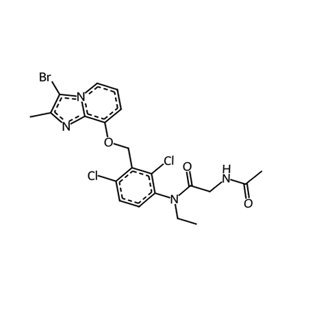 CCN(C(=O)CNC(C)=O)c1ccc(Cl)c(COc2cccn3c(Br)c(C)nc23)c1Cl